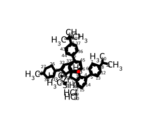 CC1=Cc2c(-c3ccc(C(C)C)cc3)cccc2[CH]1[Zr]([CH3])([CH3])(=[SiH2])[CH]1C(C2CCC(C)CC2)=Cc2c(-c3ccc(C(C)(C)C)cc3)cccc21.Cl.Cl